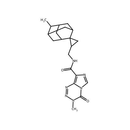 CC1C2CC3CC1CC(C2)C31CC1CNC(=O)c1ncn2c(=O)n(C)nnc12